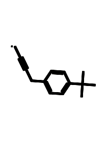 [CH2]C#CCc1ccc(C(C)(C)C)cc1